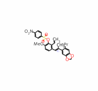 C=Cc1c(/C=C(\C)c2cc3c(cc2CCC)OCO3)ccc(OC)c1OS(=O)(=O)c1ccc([N+](=O)[O-])cc1